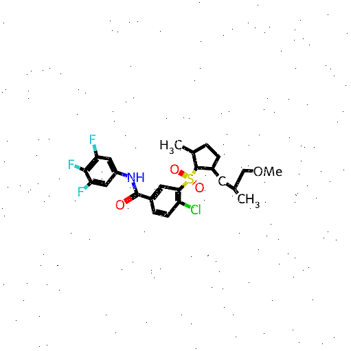 COCC(C)CC1CCC(C)C1S(=O)(=O)c1cc(C(=O)Nc2cc(F)c(F)c(F)c2)ccc1Cl